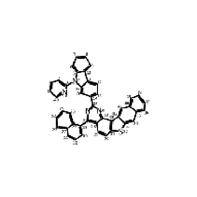 c1ccc(-n2c3ccccc3c3ccc(-c4nc(-c5cccc6ccccc56)c5ccc6sc7cc8ccccc8cc7c6c5n4)cc32)nc1